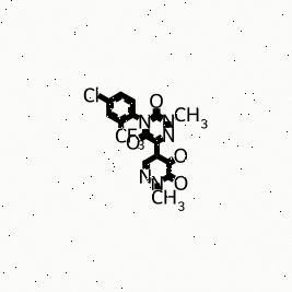 CN1N=CC(c2nn(C)c(=O)n(-c3ccc(Cl)cc3C(F)(F)F)c2=O)C(=O)C1=O